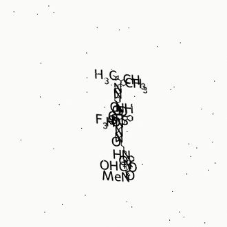 CNC(=O)CCC(C=O)N1C(=O)c2cccc(NCCCCCC(=O)N3CCN(CCC(CSc4ccccc4)Nc4ccc(S(=O)(=O)NC(=O)c5ccc(N6CCN(CC7=C(C89CC8(C)C9)CC(C)(C)CC7)CC6)cc5)cc4S(=O)(=O)C(F)(F)F)CC3)c2C1=O